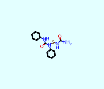 NC(=O)NSN(C(=O)Nc1ccccc1)c1ccccc1